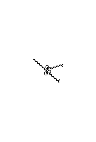 CCCCCCCCCCCC(C(=O)OCCCCCCCC(C)C)C(=O)OCCCCCCCC(C)C